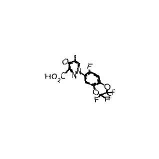 Cc1cn(-c2cc3c(cc2F)OC(F)(F)C(F)(F)O3)nc(C(=O)O)c1=O